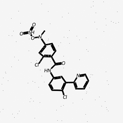 CN(O[SH](=O)=O)c1ccc(C(=O)Nc2ccc(Cl)c(-c3ccccn3)c2)c(Cl)c1